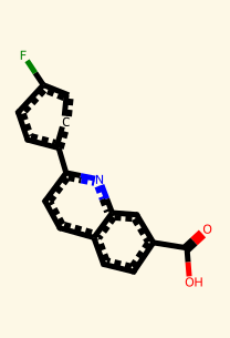 O=C(O)c1ccc2ccc(-c3ccc(F)cc3)nc2c1